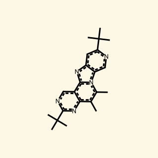 Cc1c(C)n2c3cnc(C(C)(C)C)cc3nc2c2cnc(C(C)(C)C)nc12